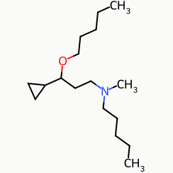 CCCCCOC(CCN(C)CCCCC)C1CC1